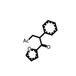 CC(=O)CC(C(=O)c1ccco1)c1ccccc1